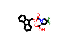 O=C(O)[C@@H]1CC(F)(F)CN1C(=O)OCC1c2ccccc2-c2ccccc21